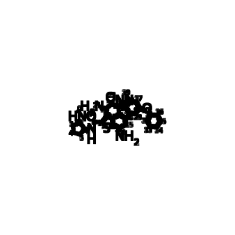 CN[C@@H]1CCC[C@H]1NC(=O)c1sc2c(N)ccc3c2c1C(N)C(=O)C3(N)c1ccc(Oc2ccccc2)cc1C